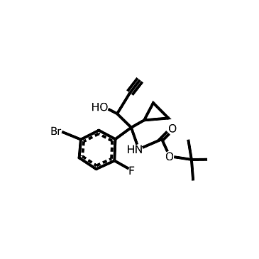 C#CC(O)C(NC(=O)OC(C)(C)C)(c1cc(Br)ccc1F)C1CC1